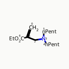 C=C(CN(CCCCC)CCCCC)C(=O)OCC